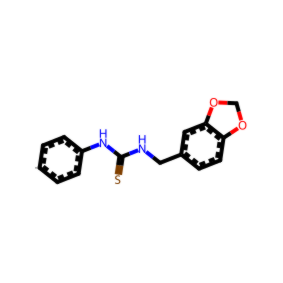 S=C(NCc1ccc2c(c1)OCO2)Nc1cc[c]cc1